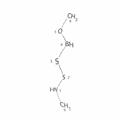 CNSSBOC